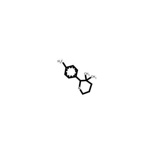 Cc1ccc(C2[N]CCCC2(C)C)cc1